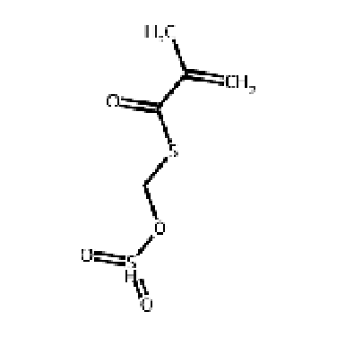 C=C(C)C(=O)SCO[SH](=O)=O